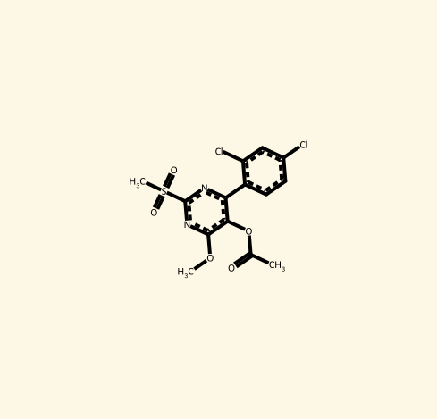 COc1nc(S(C)(=O)=O)nc(-c2ccc(Cl)cc2Cl)c1OC(C)=O